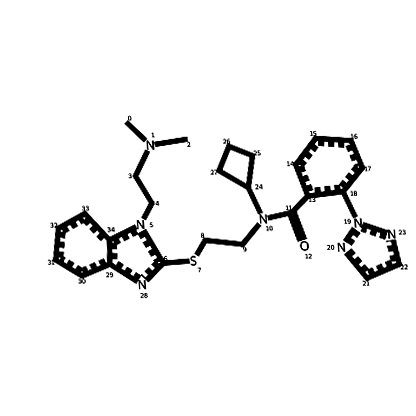 CN(C)CCn1c(SCCN(C(=O)c2ccccc2-n2nccn2)C2CCC2)nc2ccccc21